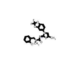 Cc1cn(-c2ccc3c(c2)OC(F)(F)O3)/c(=N/C(=O)N(C)Cc2ccccc2Cl)s1